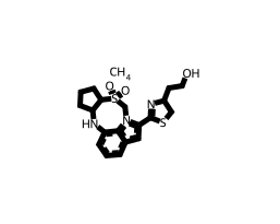 C.O=S1(=O)Cn2c(C3=NC(CCO)CS3)cc3cccc(c32)NC2CCCC21